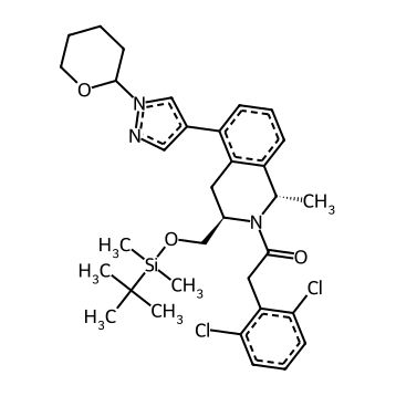 C[C@H]1c2cccc(-c3cnn(C4CCCCO4)c3)c2C[C@H](CO[Si](C)(C)C(C)(C)C)N1C(=O)Cc1c(Cl)cccc1Cl